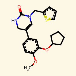 COc1ccc(C2=CN(Cc3cccs3)C(=O)NC2)cc1OC1CCCC1